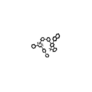 CC1(C)c2ccccc2-c2cc(-c3ccc4ccccc4c3)c(-c3cccc(-c4cccc(-c5nc(-c6ccccc6)cc(-c6ccc(-c7ccccc7)cc6)n5)c4)c3)cc21